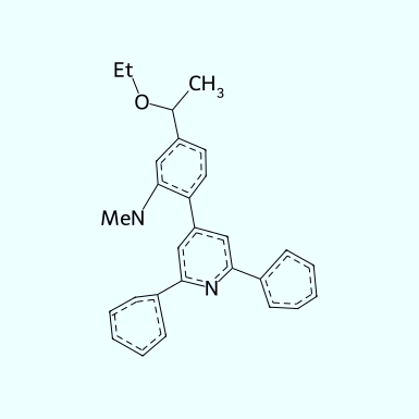 CCOC(C)c1ccc(-c2cc(-c3ccccc3)nc(-c3ccccc3)c2)c(NC)c1